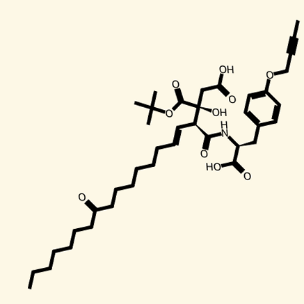 CC#CCOc1ccc(C[C@H](NC(=O)[C@@H](/C=C/CCCCCCC(=O)CCCCCCC)[C@@](O)(CC(=O)O)C(=O)OC(C)(C)C)C(=O)O)cc1